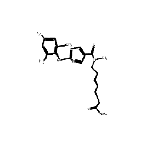 CNC(=O)CCCCCCN(C)C(=O)c1cnc(Nc2c(C)cc(C)cc2C)nc1